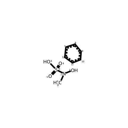 CN(O)S(=O)(=O)O.c1ccccc1